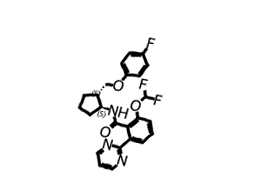 O=C(N[C@H]1CCC[C@@H]1COc1ccc(F)cc1)c1c(OC(F)F)cccc1-c1ncccn1